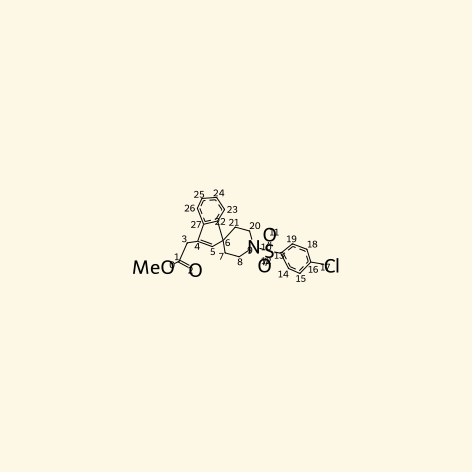 COC(=O)CC1=CC2(CCN(S(=O)(=O)c3ccc(Cl)cc3)CC2)c2ccccc21